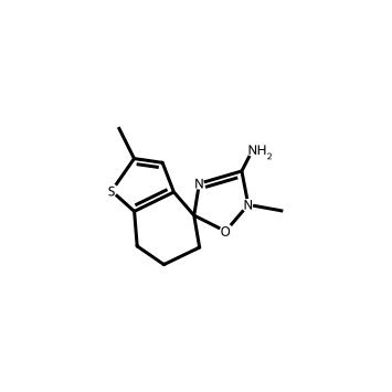 Cc1cc2c(s1)CCCC21N=C(N)N(C)O1